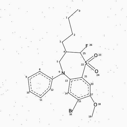 CCCCC1CN(c2ccccc2)c2cc(Br)c(OC)cc2S(=O)(=O)C1F